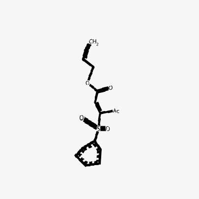 C=CCOC(=O)/C=C(\C(C)=O)S(=O)(=O)c1ccccc1